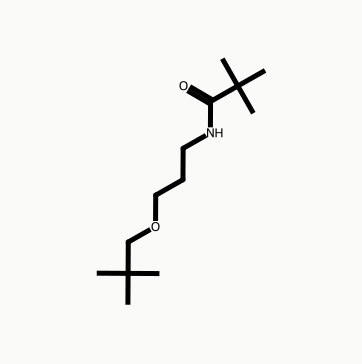 CC(C)(C)COCCCNC(=O)C(C)(C)C